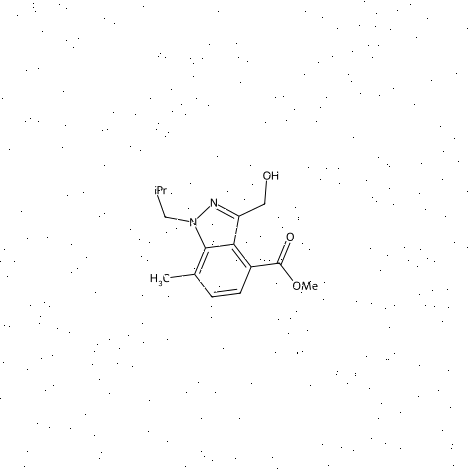 COC(=O)c1ccc(C)c2c1c(CO)nn2CC(C)C